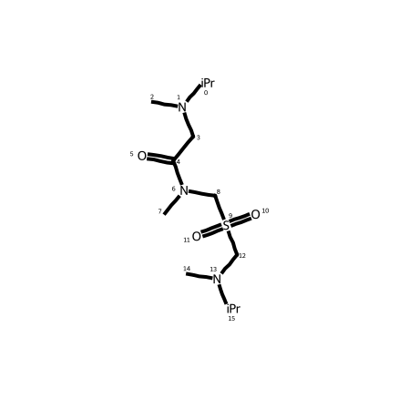 CC(C)N(C)CC(=O)N(C)CS(=O)(=O)CN(C)C(C)C